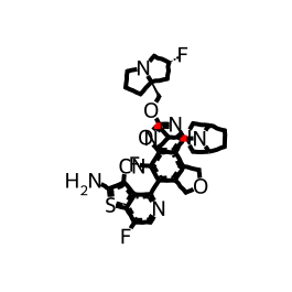 N#Cc1c(N)sc2c(F)cnc(-c3c4c(c5c(N6C7CCC6CN(C6COC6)C7)nc(OC[C@@]67CCCN6C[C@H](F)C7)nc5c3F)COC4)c12